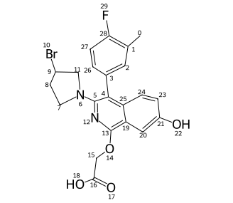 Cc1cc(-c2c(N3CCC(Br)C3)nc(OCC(=O)O)c3cc(O)ccc23)ccc1F